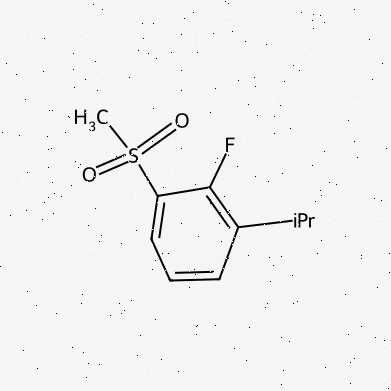 CC(C)c1cccc(S(C)(=O)=O)c1F